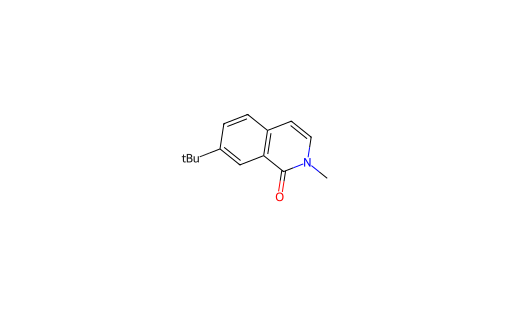 Cn1ccc2ccc(C(C)(C)C)cc2c1=O